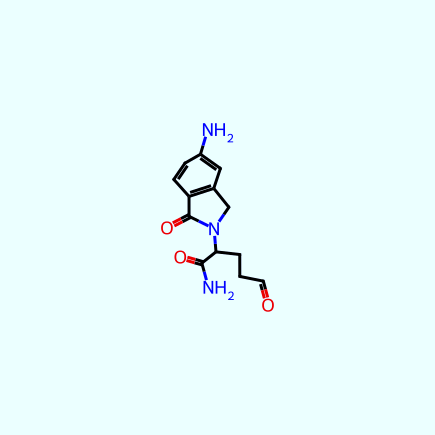 NC(=O)C(CCC=O)N1Cc2cc(N)ccc2C1=O